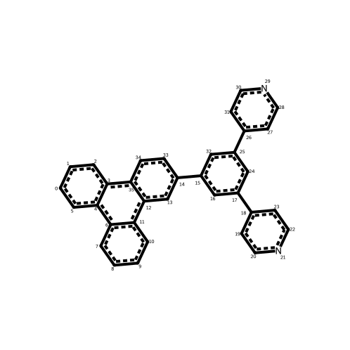 c1ccc2c(c1)c1ccccc1c1cc(-c3cc(-c4ccncc4)cc(-c4ccncc4)c3)ccc21